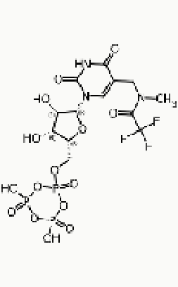 CN(Cc1cn([C@@H]2O[C@H](COP3(=O)OP(=O)(O)OP(=O)(O)O3)[C@H](O)[C@@H]2O)c(=O)[nH]c1=O)C(=O)C(F)(F)F